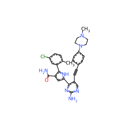 Cc1ccc(Cl)cc1-c1[nH]c(-c2nc(N)ncc2C#Cc2ccc(N3CCN(C)CC3)cc2)cc1C(N)=O